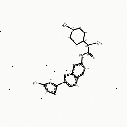 Cc1nnc(-c2cnc3cnc(NC(=O)N(C)C4CCN(C)CC4)cc3c2)s1